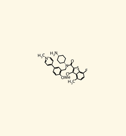 COc1ccc(-c2cc[n+](C)cc2)cc1CN(C(=O)c1sc2c(F)ccc(C)c2c1Cl)[C@H]1CC[C@@H](N)CC1